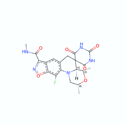 CNC(=O)c1noc2c(F)c3c(cc12)CC1(C(=O)NC(=O)NC1=O)[C@H]1[C@H](C)O[C@H](C)CN31